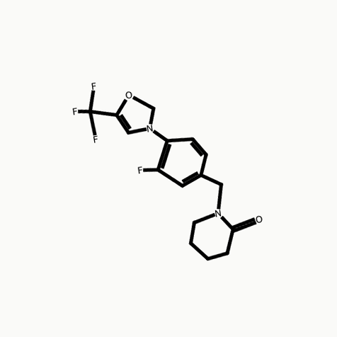 O=C1CCCCN1Cc1ccc(N2C=C(C(F)(F)F)OC2)c(F)c1